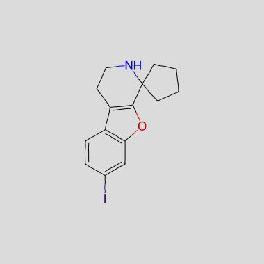 Ic1ccc2c3c(oc2c1)C1(CCCC1)NCC3